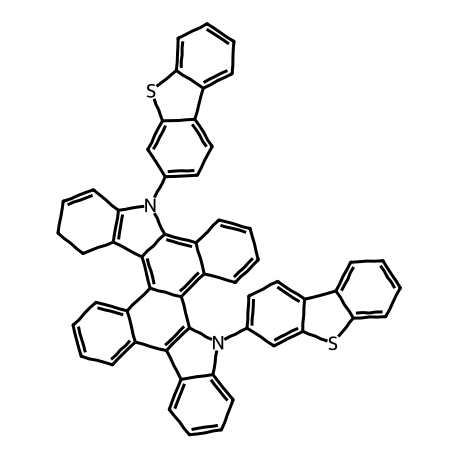 C1=Cc2c(c3c4c5ccccc5c5c6ccccc6n(-c6ccc7c(c6)sc6ccccc67)c5c4c4ccccc4c3n2-c2ccc3c(c2)sc2ccccc23)CC1